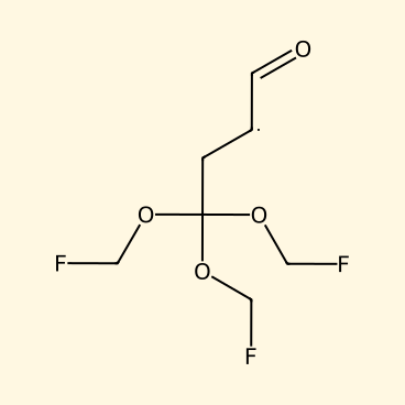 O=C[CH]CC(OCF)(OCF)OCF